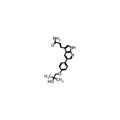 CC(C)(O)COc1ccc(-c2cnc3[nH]cc(/C=C/C(N)=O)c3c2)cc1